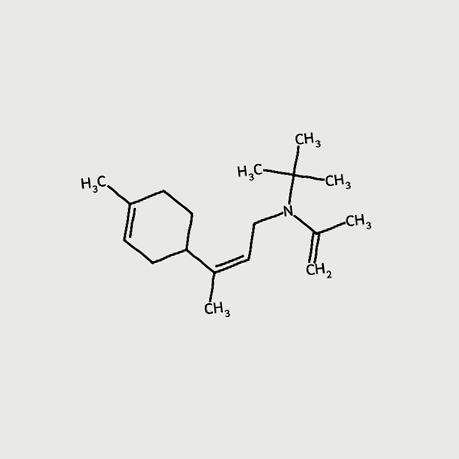 C=C(C)N(C/C=C(/C)C1CC=C(C)CC1)C(C)(C)C